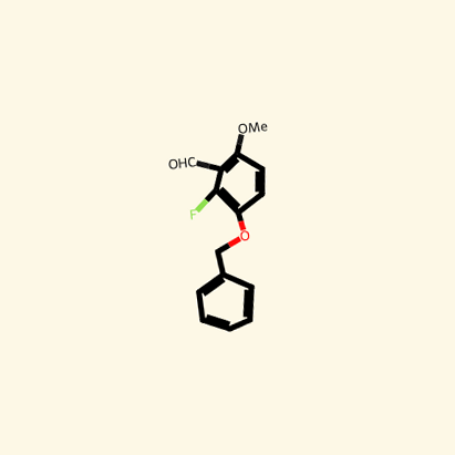 COc1ccc(OCc2ccccc2)c(F)c1C=O